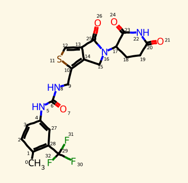 Cc1ccc(NC(=O)NCc2scc3c2CN(C2CCC(=O)NC2=O)C3=O)cc1C(F)(F)F